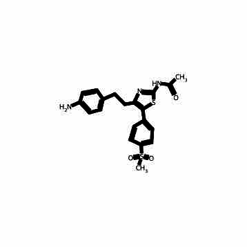 CC(=O)Nc1nc(CCc2ccc(N)cc2)c(-c2ccc(S(C)(=O)=O)cc2)s1